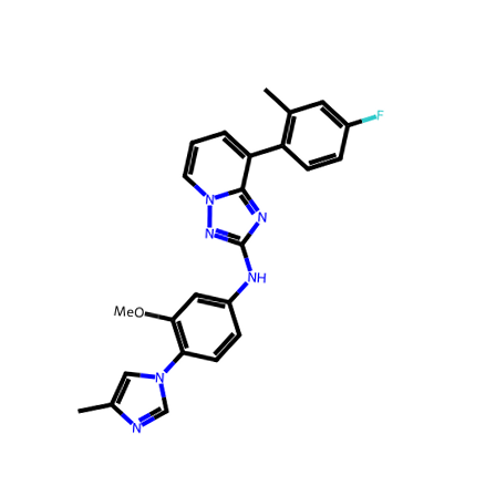 COc1cc(Nc2nc3c(-c4ccc(F)cc4C)cccn3n2)ccc1-n1cnc(C)c1